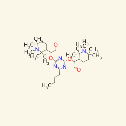 CCCCc1nc(OC(C=O)C2CCC(C)(C)N(C)C2(C)C)nc(OC(C=O)C2CCC(C)(C)N(C)C2(C)C)n1